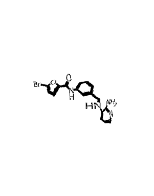 Nc1ncccc1NCc1cccc(NC(=O)c2ccc(Br)o2)c1